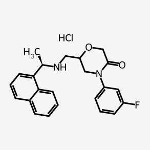 C[C@@H](NCC1CN(c2cccc(F)c2)C(=O)CO1)c1cccc2ccccc12.Cl